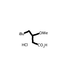 CCC(C)CC(CC(=O)O)OC.Cl